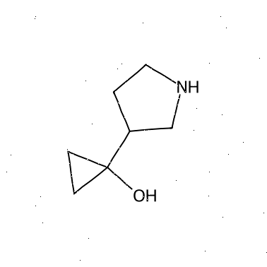 OC1(C2CCNC2)CC1